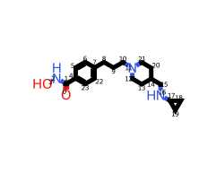 O=C(NO)c1ccc(CCCN2CCC(CNC3CC3)CC2)cc1